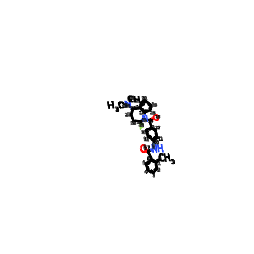 Cc1ccccc1C(=O)Nc1ccc(C(=O)N2c3ccccc3C(N(C)C)CCC2F)cc1